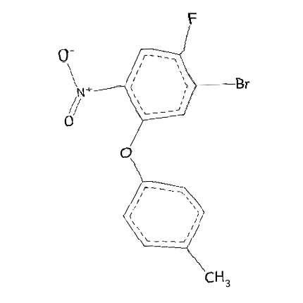 Cc1ccc(Oc2cc(Br)c(F)cc2[N+](=O)[O-])cc1